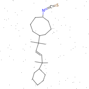 CC(C)(C=CC(C)(C)C1CCCC(N=C=S)CCC1)C1CCCCC1